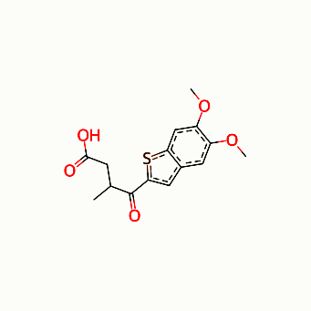 COc1cc2cc(C(=O)C(C)CC(=O)O)sc2cc1OC